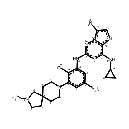 CN1CCC2(CCN(c3cc(N)cc(Nc4nc(NC5CC5)c5ncc(N)n5n4)c3Cl)CC2)C1